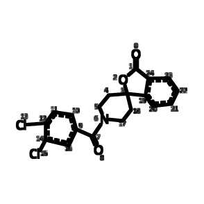 O=C1OC2(CCN(C(=O)c3ccc(Cl)c(Cl)c3)CC2)c2ccccc21